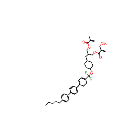 C=C(C)C(=O)OCC(COC(=O)C(=C)CO)CC1CCC(OC(F)(F)C2=CC=C(c3ccc(-c4ccc(CCCCC)cc4)cc3)CC2)CC1